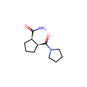 NC(=O)[C@@H]1CCC[C@@H]1C(=O)N1CCCC1